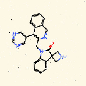 O=C1N(Cc2ncc3ccccc3c2-c2cncnc2)c2ccccc2C12CNC2